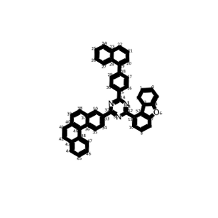 C1=CCC2C(=C1)Oc1cccc(-c3nc(-c4ccc(-c5cccc6ccccc56)cc4)nc(-c4ccc5c(ccc6ccc7ccccc7c65)c4)n3)c12